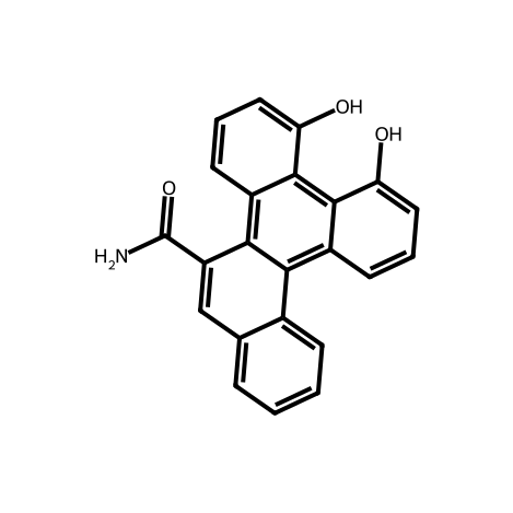 NC(=O)c1cc2ccccc2c2c3cccc(O)c3c3c(O)cccc3c12